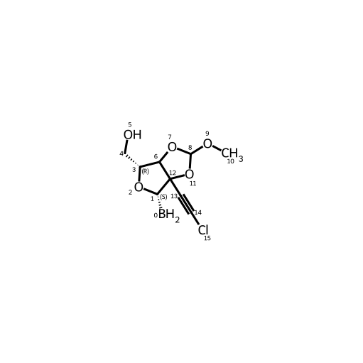 B[C@@H]1O[C@H](CO)C2OC(OC)OC21C#CCl